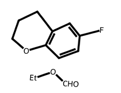 CCOC=O.Fc1ccc2c(c1)CCCO2